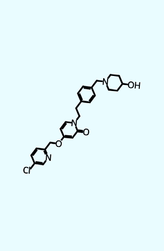 O=c1cc(OCc2ccc(Cl)cn2)ccn1CCc1ccc(CN2CCC(O)CC2)cc1